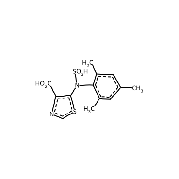 Cc1cc(C)c(N(c2scnc2C(=O)O)S(=O)(=O)O)c(C)c1